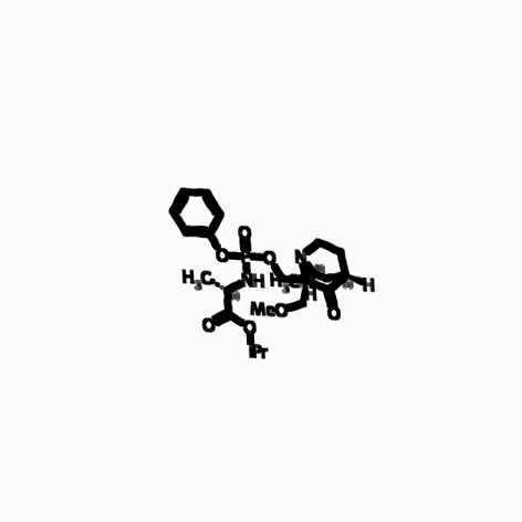 COC[C@]1(COP(=O)(N[C@@H](C)C(=O)OC(C)C)Oc2ccccc2)C(=O)[C@H]2CCN1[C@H](C)C2